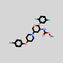 CC(C)(C)OC(=O)N[C@H]1CC(N2CCC(Oc3ccc(Br)cc3)CC2)CO[C@@H]1c1cc(F)ccc1F